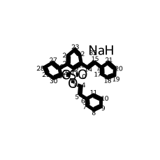 O=S(=O)(OC=Cc1ccccc1)c1c(C=Cc2ccccc2)cccc1-c1ccccc1.[NaH]